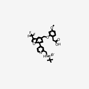 COc1ccc(CC(=O)O)c(OCc2cc(-c3ccnc(CN[S@@+]([O-])C(C)(C)C)c3)c3occ(C(F)(F)F)c3c2)c1